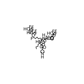 CCCCC(NC(=O)[C@@H](CCCCCF)NC(=O)[C@H](N)Cc1ccccc1)C(=O)OC(=O)C1CCNCC1.O=C(O)C(F)(F)F.O=C(O)C(F)(F)F.O=C(O)C(F)(F)F